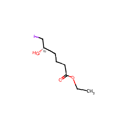 CCOC(=O)CCC[C@H](O)CI